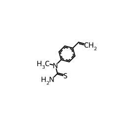 C=Cc1ccc(N(C)C(N)=S)cc1